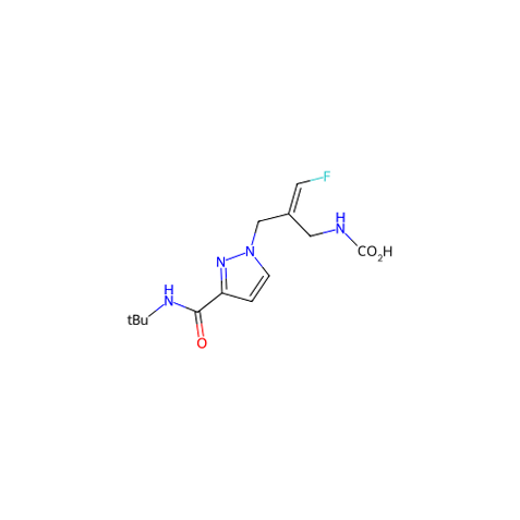 CC(C)(C)NC(=O)c1ccn(C/C(=C/F)CNC(=O)O)n1